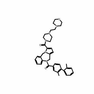 Cc1ccccc1-c1ccc(C(=O)N2Cc3ccc(C(=O)N4CCN(CCN5CCOCC5)CC4)n3Cc3ccccc32)cc1C